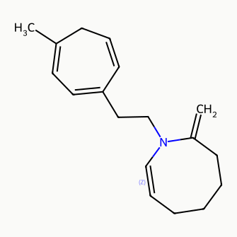 C=C1CCCC/C=C\N1CCC1=CC=C(C)CC=C1